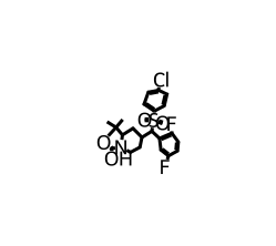 CC(C)(C)C1CC(C(c2cc(F)ccc2F)S(=O)(=O)c2ccc(Cl)cc2)CCN1C(=O)O